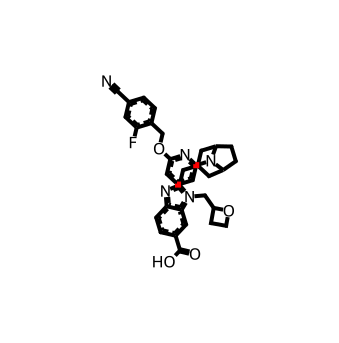 N#Cc1ccc(COc2cccc(N3C4CCC3CC(Cc3nc5ccc(C(=O)O)cc5n3CC3CCO3)C4)n2)c(F)c1